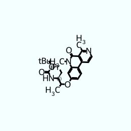 Cc1nccc2c1c(=O)n(C)c1cc(OC(C)[C@H](CC(C)C)NC(=O)OC(C)(C)C)ccc21